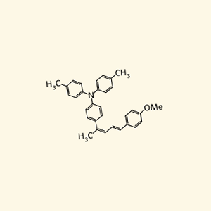 COc1ccc(C=CC=C(C)c2ccc(N(c3ccc(C)cc3)c3ccc(C)cc3)cc2)cc1